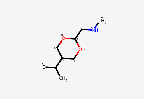 CNCC1OCC(C(C)C)CO1